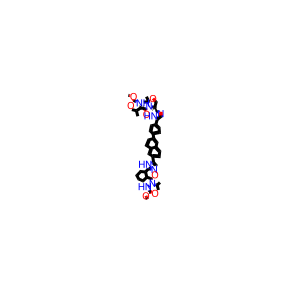 COC(=O)N[C@H](C(=O)N1[C@H](c2ncc(-c3ccc(-c4ccc5cc(-c6cnc(C7CCCCC7C(=O)N(NC(=O)OC)C(C)C)[nH]6)ccc5c4)cc3)[nH]2)COC1(C)C)C(C)C